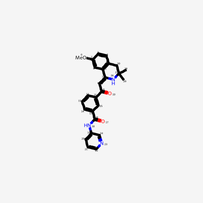 COc1ccc2c(c1)/C(=C/C(=O)c1cccc(C(=O)Nc3cccnc3)c1)NC(C)(C)C2